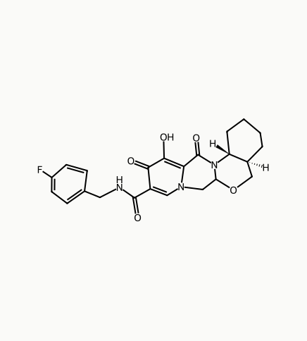 O=C(NCc1ccc(F)cc1)c1cn2c(c(O)c1=O)C(=O)N1C(C2)OC[C@@H]2CCCC[C@H]21